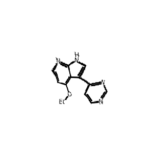 CCOc1ccnc2[nH]cc(-c3ccncn3)c12